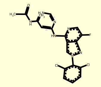 C=C(/C=C(\N=C/N)Nc1ncc(F)c2nn(-c3c(Cl)cccc3Cl)cc12)NC(C)=O